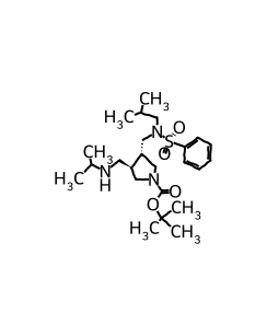 CC(C)CN(C[C@@H]1CN(C(=O)OC(C)(C)C)C[C@H]1CNC(C)C)S(=O)(=O)c1ccccc1